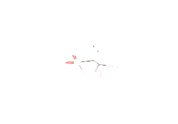 CCCCC(O)CS(=O)(=O)[O-].[Na+]